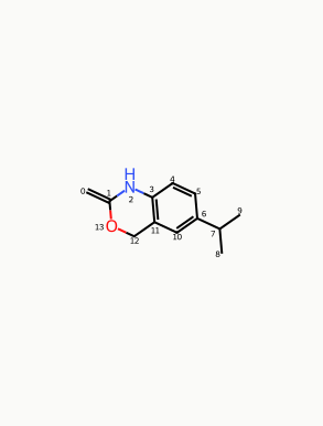 C=C1Nc2ccc(C(C)C)cc2CO1